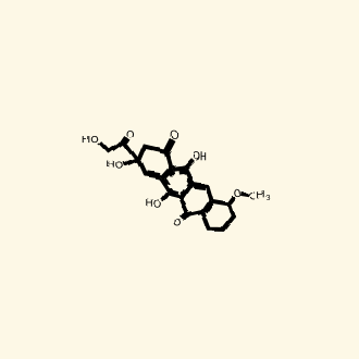 COC1CCCC2=C1C=c1c(O)c3c(c(O)c1C2=O)=CC(O)(C(=O)CO)CC3=O